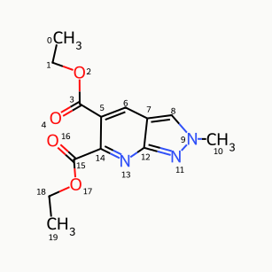 CCOC(=O)c1cc2cn(C)nc2nc1C(=O)OCC